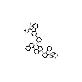 CC1(C)c2ccccc2-c2c(-c3ccc(N(c4cccc(-c5ccc6c(c5)C5C=CC=CC5C6(C)C)c4)c4ccc5ccccc5c4-c4ccccc4)cc3)cccc21